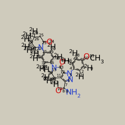 [2H]c1c([2H])c(-n2nc(C(N)=O)c3c2C(=O)N(c2c([2H])c([2H])c(N4C(=O)CC([2H])([2H])C([2H])([2H])C4([2H])[2H])c([2H])c2[2H])C([2H])([2H])C3([2H])[2H])c([2H])c([2H])c1OC